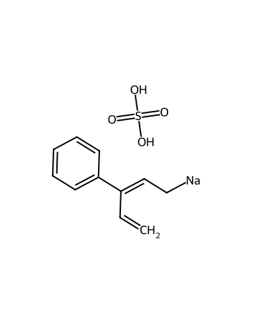 C=CC(=C[CH2][Na])c1ccccc1.O=S(=O)(O)O